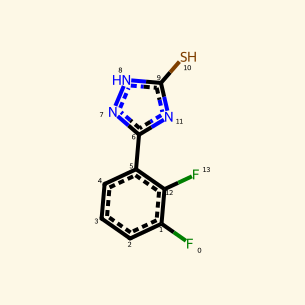 Fc1cccc(-c2n[nH]c(S)n2)c1F